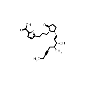 CCC#CC[C@H](C)[C@H](O)/C=C/[C@H]1CCC(=O)N1CCCc1ccc(C(=O)O)s1